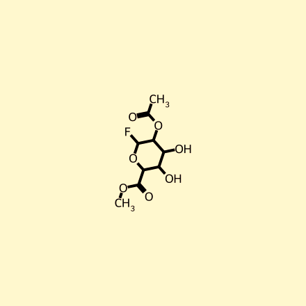 COC(=O)C1OC(F)C(OC(C)=O)C(O)C1O